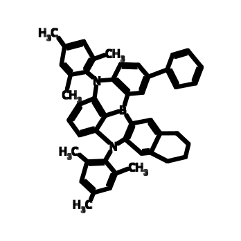 Cc1cc(C)c(N2c3ccc(-c4ccccc4)cc3B3c4cc5c(cc4N(c4c(C)cc(C)cc4C)c4cccc2c43)CCCC5)c(C)c1